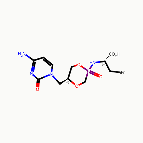 CC(C)C[C@H](NP1(=O)CO[C@@H](Cn2ccc(N)nc2=O)CO1)C(=O)O